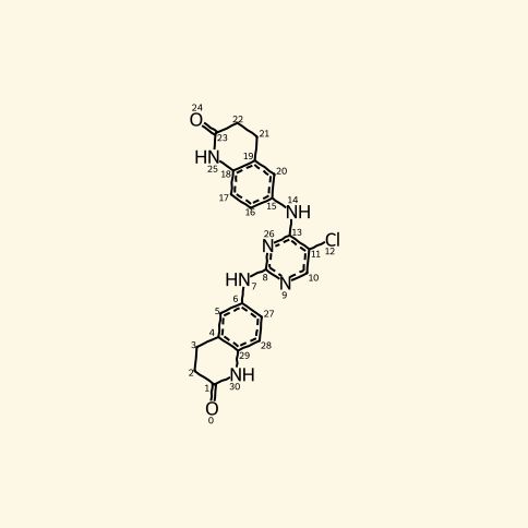 O=C1CCc2cc(Nc3ncc(Cl)c(Nc4ccc5c(c4)CCC(=O)N5)n3)ccc2N1